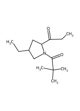 CCC(=O)C1CC(CC)CN1C(=O)C(C)(C)C